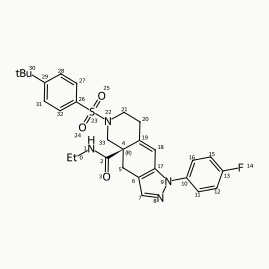 CCNC(=O)[C@]12Cc3cnn(-c4ccc(F)cc4)c3C=C1CCN(S(=O)(=O)c1ccc(C(C)(C)C)cc1)C2